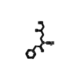 O=C(CO)CCN(C(=O)O)C(=O)Cc1ccccc1